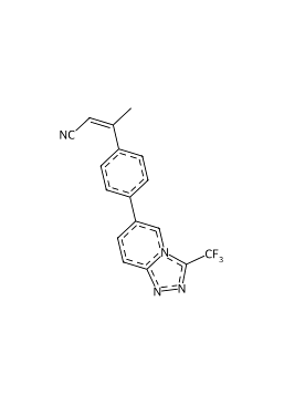 C/C(=C/C#N)c1ccc(-c2ccc3nnc(C(F)(F)F)n3c2)cc1